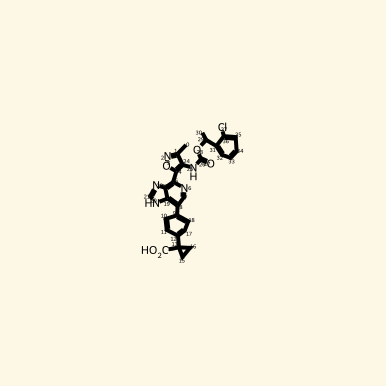 Cc1noc(-c2ncc(-c3ccc(C4(C(=O)O)CC4)cc3)c3[nH]cnc23)c1NC(=O)OC(C)c1ccccc1Cl